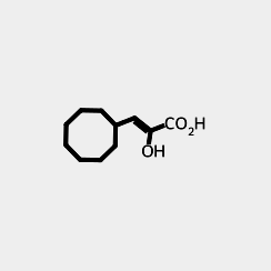 O=C(O)C(O)=CC1CCCCCCC1